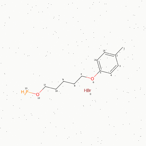 Br.Cc1ccc(OCCCCCOP)cc1